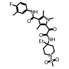 CCC1(NC(=O)C(=O)c2c(C)c(C(=O)Nc3ccc(F)c(C)c3)c(C)n2C)CCN(S(C)(=O)=O)CC1